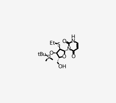 CCS[C@@H]1[C@H](O[Si](C)(C)C(C)(C)C)[C@@H](CO)O[C@H]1n1c(=O)cc[nH]c1=O